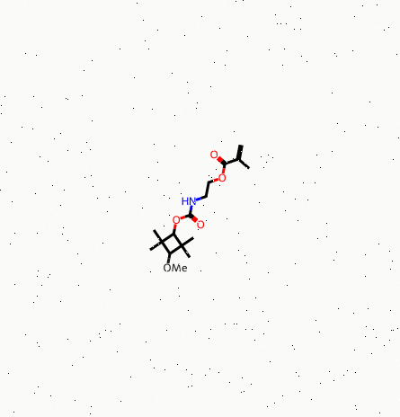 C=C(C)C(=O)OCCNC(=O)OC1C(C)(C)C(OC)C1(C)C